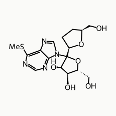 CSc1ncnc2c1ncn2C1([C@H]2CC[C@@H](CO)O2)O[C@H](CO)[C@@H](O)[C@H]1O